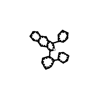 c1ccc(-c2ccccc2-c2oc(-c3ccccc3)c3cc4ccccc4cc23)cc1